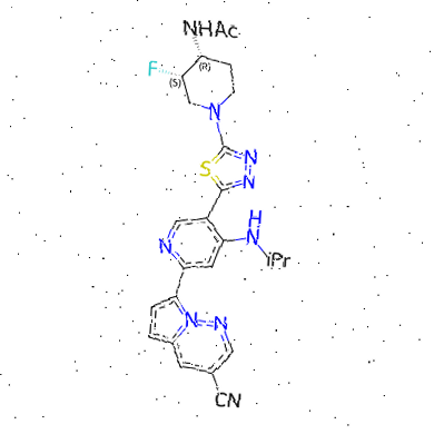 CC(=O)N[C@@H]1CCN(c2nnc(-c3cnc(-c4ccc5cc(C#N)cnn45)cc3NC(C)C)s2)C[C@@H]1F